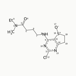 CCN(C)C(=O)CCCNc1nc(Cl)nc2c1[S+]([O-])CC2